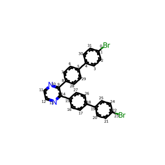 Brc1ccc(-c2ccc(-c3nccnc3-c3ccc(-c4ccc(Br)cc4)cc3)cc2)cc1